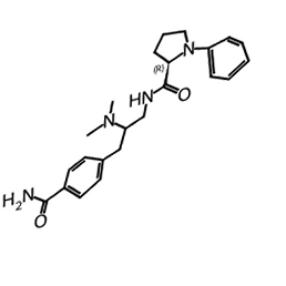 CN(C)C(CNC(=O)[C@H]1CCCN1c1ccccc1)Cc1ccc(C(N)=O)cc1